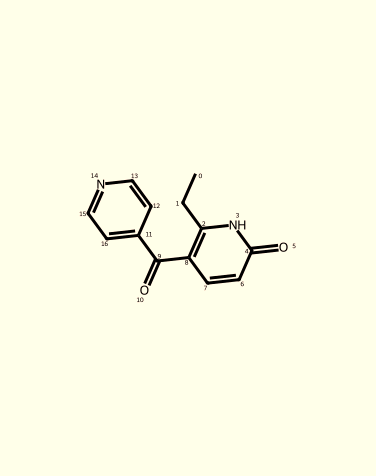 CCc1[nH]c(=O)ccc1C(=O)c1ccncc1